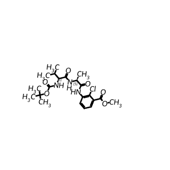 COC(=O)c1cccc(NC(=O)[C@H](C)NC(=O)[C@@H](NC(=O)OC(C)(C)C)C(C)C)c1Cl